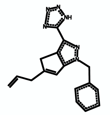 C=CCC1=Cc2c(c(-c3nnn[nH]3)nn2Cc2ccccc2)C1